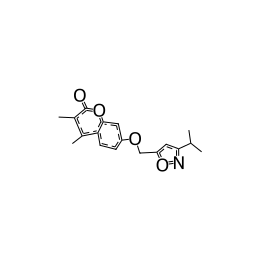 Cc1c(C)c2ccc(OCc3cc(C(C)C)no3)cc2oc1=O